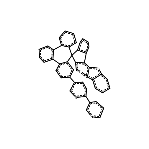 c1cncc(-c2ccc(-c3ccc4c(c3)C3(c5ccccc5-c5ccccc5-4)c4ccccc4-c4c3ccc3c4sc4ccccc43)cn2)c1